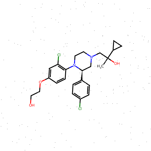 CC(O)(CN1CCN(c2ccc(OCCO)cc2Cl)[C@H](c2ccc(Cl)cc2)C1)C1CC1